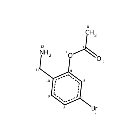 CC(=O)Oc1cc(Br)ccc1CN